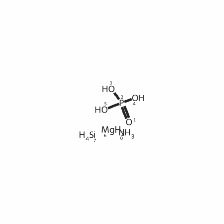 N.O=P(O)(O)O.[MgH2].[SiH4]